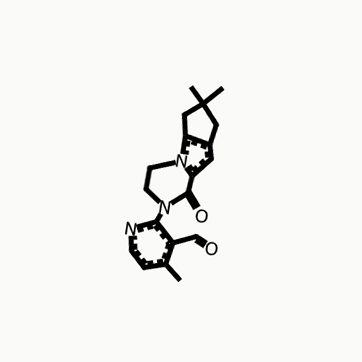 Cc1ccnc(N2CCn3c(cc4c3CC(C)(C)C4)C2=O)c1C=O